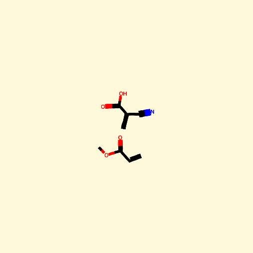 C=C(C#N)C(=O)O.C=CC(=O)OC